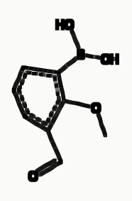 COc1c(C=O)cccc1B(O)O